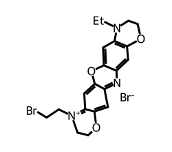 CCN1CCOc2cc3c(cc21)Oc1cc2c(cc1=N3)OCC[N+]=2CCBr.[Br-]